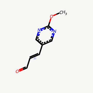 COc1ncc(/C=C/C=O)cn1